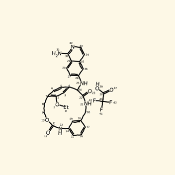 CCOc1cc2ccc1CCOC(=O)Nc1cccc(c1)CNC(=O)C2Nc1ccc2c(N)nccc2c1.O=C(O)C(F)(F)F